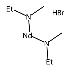 Br.CC[N](C)[Nd][N](C)CC